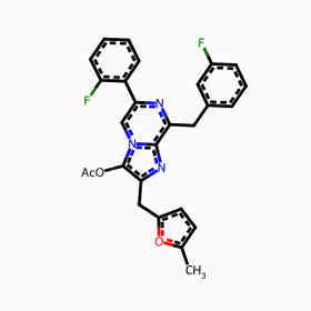 CC(=O)Oc1c(Cc2ccc(C)o2)nc2c(Cc3cccc(F)c3)nc(-c3ccccc3F)cn12